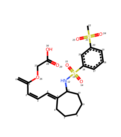 C=C(/C=C\C=C1/CCCCCC1NS(=O)(=O)c1cccc(S(C)(=O)=O)c1)OCC(=O)O